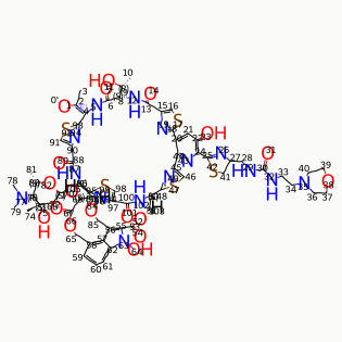 CO/C(C)=C1/NC(=O)[C@H]([C@@H](C)O)NC(=O)c2csc(n2)-c2cc(O)c(C3=NC(CNC(=O)NCCN4CCOCC4)CS3)nc2-c2csc(n2)[C@@H]2COC(=O)c3c4c5c(cccc5n3O)COC(=O)[C@@H](O[C@H]3C[C@](C)(O)[C@H](N(C)C)[C@H](C)O3)[C@@H](OC4)[C@H](NC(=O)c3csc1n3)c1nc(cs1)C(=O)N2